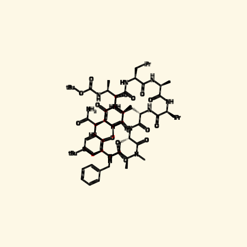 CC(C)C[C@H](NC(=O)CNC(=O)[C@H](Cc1ccccc1)N(C)C(=O)[C@H](C)NC(=O)[C@H](C)NC(=O)OC(C)(C)C)C(=O)N[C@@H](C)C(=O)N[C@H](C(=O)N[C@@H](Cc1ccccc1)C(=O)N[C@@H](CC(=O)OCc1ccccc1)C(=O)N(C)[C@@H](C)C(=O)N[C@@H](COC(C)(C)C)C(=O)NCC(N)=O)C(C)C